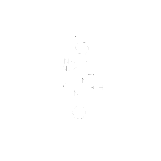 C[C@@H]1CN(C(=O)COc2ccc(Cl)cc2-c2cc[nH]n2)[C@@H](C)CN1Cc1ccc(F)cc1